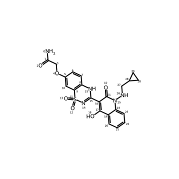 NC(=O)COc1ccc2c(c1)S(=O)(=O)N=C(c1c(O)c3ccccc3n(NCC3CC3)c1=O)N2